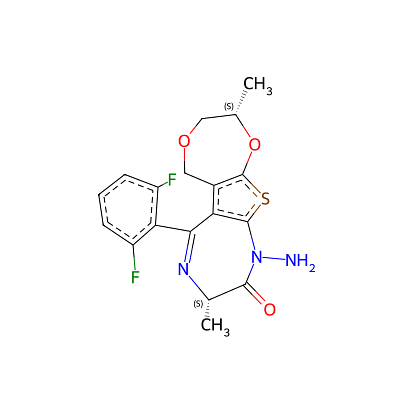 C[C@@H]1N=C(c2c(F)cccc2F)c2c(sc3c2COC[C@H](C)O3)N(N)C1=O